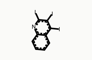 Ic1nc2ccccc2c(I)c1I